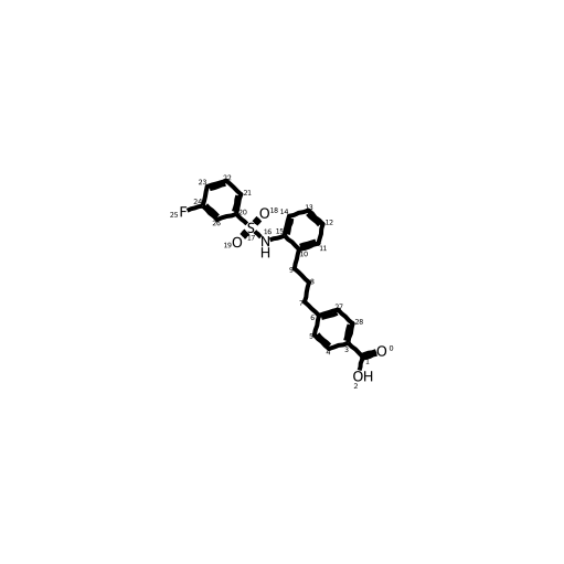 O=C(O)c1ccc(CCCc2ccccc2NS(=O)(=O)c2cccc(F)c2)cc1